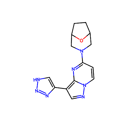 c1[nH]nnc1-c1cnn2ccc(N3CC4CCC(C3)O4)nc12